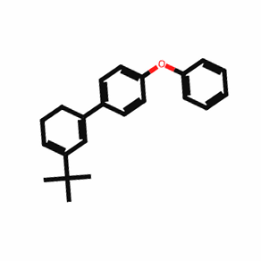 CC(C)(C)C1=CC[CH]C(c2ccc(Oc3ccccc3)cc2)=C1